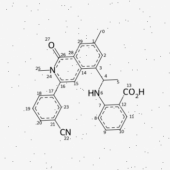 Cc1cc(C(C)Nc2ccccc2C(=O)O)c2cc(-c3cccc(C#N)c3)n(C)c(=O)c2c1